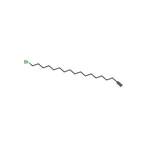 C#CCCCCCCCCCCCCCCCCBr